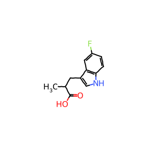 CC(Cc1c[nH]c2ccc(F)cc12)C(=O)O